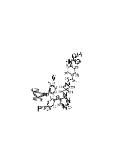 N#Cc1ccc(-c2cc(F)ccc2Oc2cncnc2N2CC3(CN(CCC4CCC(NC(=O)O)CC4)C3)C2)c(C2CC2)c1